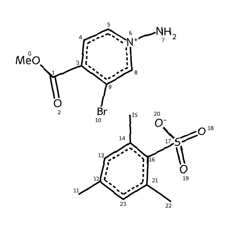 COC(=O)c1cc[n+](N)cc1Br.Cc1cc(C)c(S(=O)(=O)[O-])c(C)c1